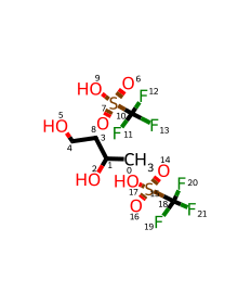 CC(O)CCO.O=S(=O)(O)C(F)(F)F.O=S(=O)(O)C(F)(F)F